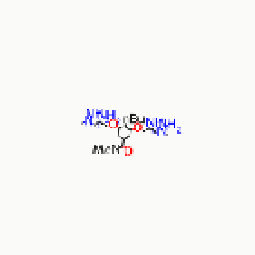 CCCCc1c(OC/C(N)=C/N(C)N)cc(C(=O)NC)cc1OC/C(N)=C/N(C)N